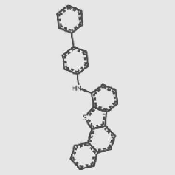 c1ccc(-c2ccc(Nc3cccc4c3sc3c5ccccc5ccc43)cc2)cc1